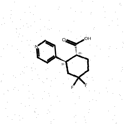 O=C(O)[C@@H]1CCC(F)(F)C[C@H]1c1ccncc1